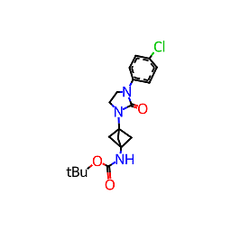 CC(C)(C)OC(=O)NC12CC(N3CCN(c4ccc(Cl)cc4)C3=O)(C1)C2